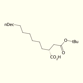 CCCCCCCCCCCCCCCC[C@H](CC(=O)OC(C)(C)C)C(=O)O